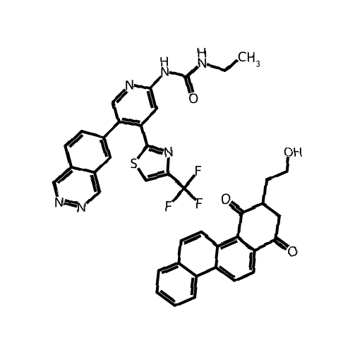 CCNC(=O)Nc1cc(-c2nc(C(F)(F)F)cs2)c(-c2ccc3cnncc3c2)cn1.O=C1CC(CCO)C(=O)c2c1ccc1c2ccc2ccccc21